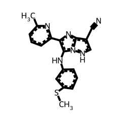 CSc1cccc(Nc2c(-c3cccc(C)n3)nc3c(C#N)c[nH]n23)c1